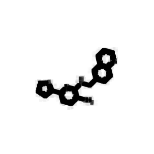 Nc1ccc(-c2cccs2)nc1NCc1ccc2ncccc2c1